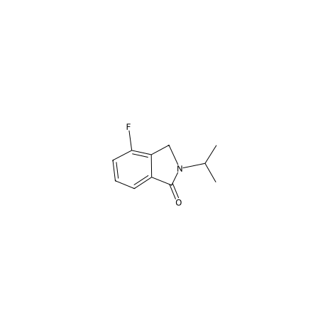 CC(C)N1Cc2c(F)cccc2C1=O